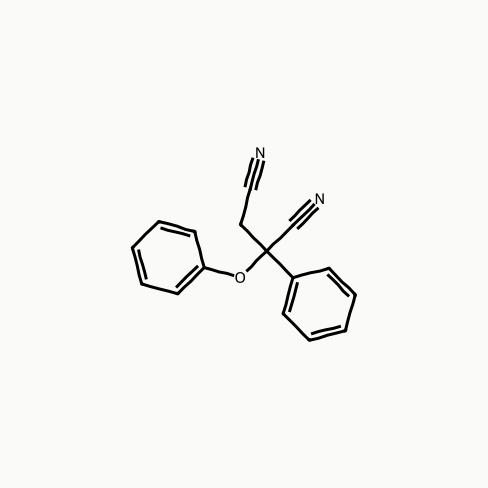 N#CCC(C#N)(Oc1ccccc1)c1ccccc1